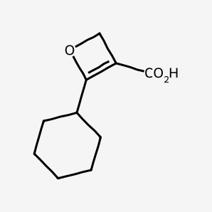 O=C(O)C1=C(C2CCCCC2)OC1